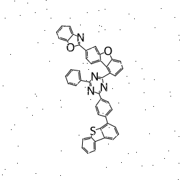 c1ccc(-c2nc(-c3ccc(-c4cccc5c4sc4ccccc45)cc3)nc(-c3cccc4oc5cc(-c6nc7ccccc7o6)ccc5c34)n2)cc1